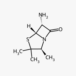 C[C@@H]1N2C(=O)[C@@H](N)[C@H]2SC1(C)C